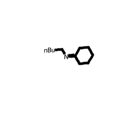 C[CH]CCCN=C1CCCCC1